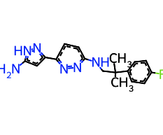 CC(C)(CNc1ccc(-c2cc(N)[nH]n2)nn1)c1ccc(F)cc1